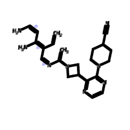 C=CC(/C=N\C(=C)N1CC(c2nccnc2N2CCC(C#N)CC2)C1)=C(N)\C=C/N